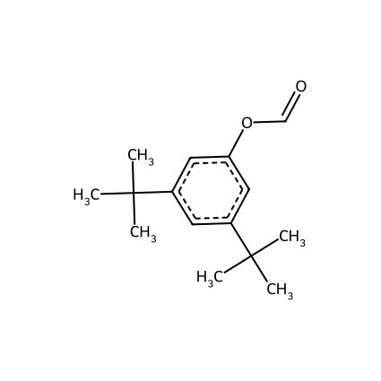 CC(C)(C)c1cc(OC=O)cc(C(C)(C)C)c1